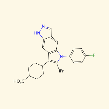 CC(C)c1c(C2CCC(C(=O)O)CC2)c2cc3[nH]ncc3cc2n1-c1ccc(F)cc1